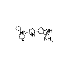 Nc1n[nH]c2ccc(-c3ccc(NCC4(c5ccc(F)cc5)CCCC4)nn3)cc12